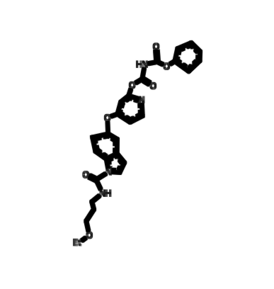 CCOCCCNC(=O)n1ccc2cc(Oc3ccnc(OC(=O)NC(=O)Oc4ccccc4)c3)ccc21